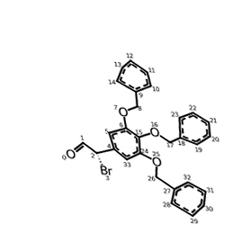 O=C[C@@H](Br)c1cc(OCc2ccccc2)c(OCc2ccccc2)c(OCc2ccccc2)c1